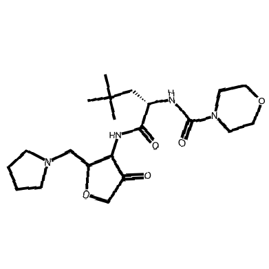 CC(C)(C)C[C@H](NC(=O)N1CCOCC1)C(=O)NC1C(=O)COC1CN1CCCC1